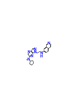 CN(c1cnc2cnn(CCNc3ccc4ccncc4c3)c2n1)C1CCCC1